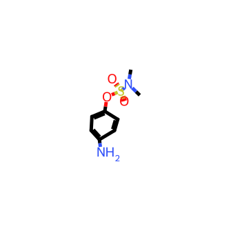 CN(C)S(=O)(=O)Oc1ccc(N)cc1